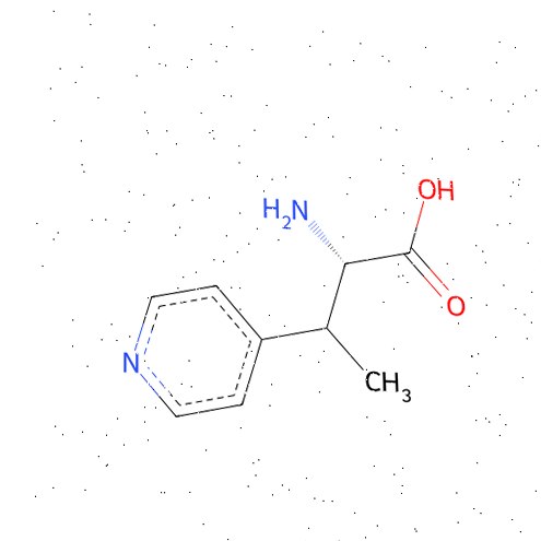 CC(c1ccncc1)[C@H](N)C(=O)O